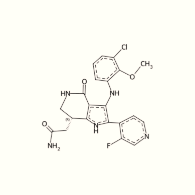 COc1c(Cl)cccc1Nc1c(-c2ccncc2F)[nH]c2c1C(=O)NC[C@H]2CC(N)=O